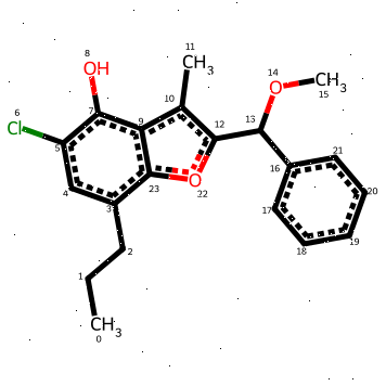 CCCc1cc(Cl)c(O)c2c(C)c(C(OC)c3ccccc3)oc12